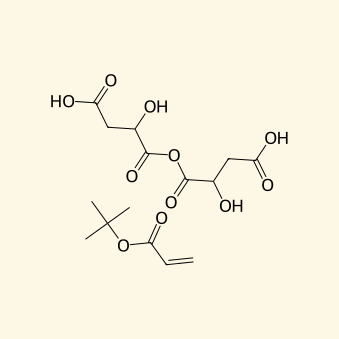 C=CC(=O)OC(C)(C)C.O=C(O)CC(O)C(=O)OC(=O)C(O)CC(=O)O